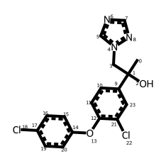 CC(O)(Cn1cncn1)c1ccc(Oc2ccc(Cl)cc2)c(Cl)c1